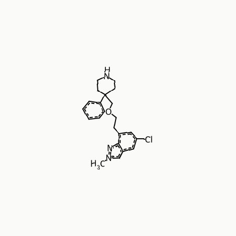 Cn1cc2cc(Cl)cc(CCOCC3(c4ccccc4)CCNCC3)c2n1